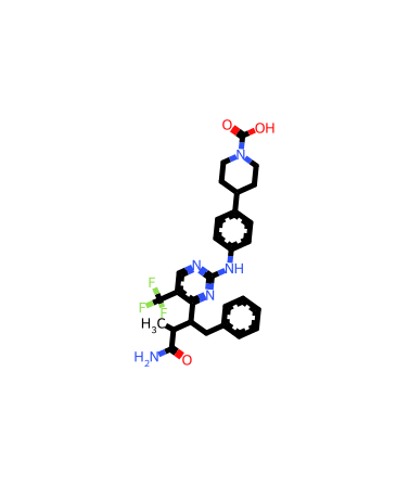 CC(C(N)=O)C(Cc1ccccc1)c1nc(Nc2ccc(C3CCN(C(=O)O)CC3)cc2)ncc1C(F)(F)F